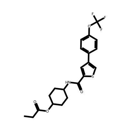 CCC(=O)OC1CCC(NC(=O)c2cc(-c3ccc(OC(F)(F)F)cc3)cs2)CC1